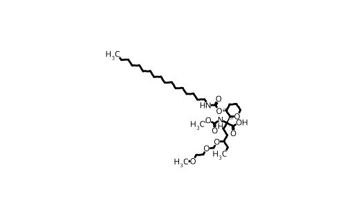 CCCCCCCCCCCCCCCCCNC(=O)O[C@@H]1CCCO[C@H]1C(CCC(CC)OCOCCOC)(NC(=O)OC)C(=O)O